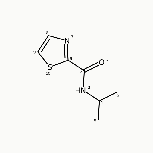 CC(C)NC(=O)c1nccs1